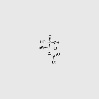 CCCC(CC)(OC(=O)CC)P(=O)(O)O